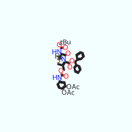 CC(=O)Oc1ccc(NC(=O)OCC2=C(C(=O)OC(c3ccccc3)c3ccccc3)N3C(=O)[C@@H](NC(=O)OC(C)(C)C)[C@H]3SC2)cc1OC(C)=O